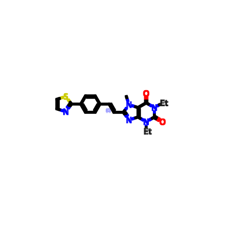 CCn1c(=O)c2c(nc(/C=C/c3ccc(-c4nccs4)cc3)n2C)n(CC)c1=O